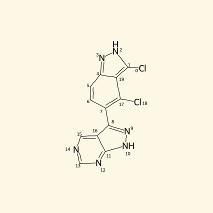 Clc1[nH]nc2ccc(-c3n[nH]c4ncncc34)c(Cl)c12